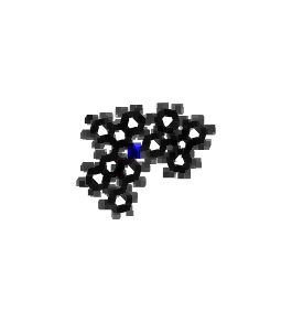 c1ccc(-c2ccc(N(c3ccc(C4(c5ccccc5)c5ccccc5-c5ccccc54)cc3)c3c(-c4ccc5ccccc5c4)c4ccccc4c4ccccc34)cc2)cc1